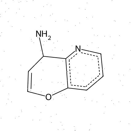 NC1C=COc2cccnc21